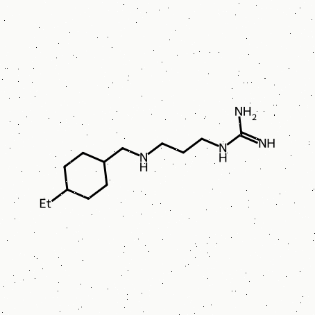 CCC1CCC(CNCCCNC(=N)N)CC1